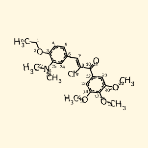 CCOc1ccc(C=C(Cl)C(=O)c2cc(OC)c(OC)c(OC)c2)cc1N(C)C